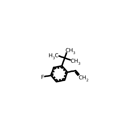 C=Cc1ccc(F)cc1C(C)(C)C